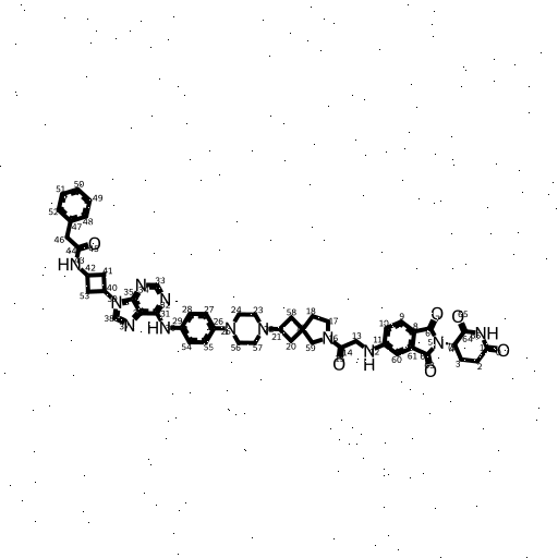 O=C1CC[C@H](N2C(=O)c3ccc(NCC(=O)N4CCC5(CC(N6CCN(c7ccc(Nc8ncnc9c8ncn9C8CC(NC(=O)Cc9ccccc9)C8)cc7)CC6)C5)C4)cc3C2=O)C(=O)N1